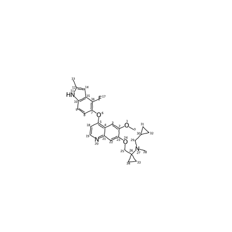 COc1cc2c(Oc3ccc4[nH]c(C)cc4c3F)ccnc2cc1OCC1(N(C)CC2CC2)CC1